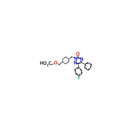 O=C(O)COC[C@H]1CC[C@@H](Cn2nc(-c3ccc(F)cc3)c(-c3ccccc3)nc2=O)CC1